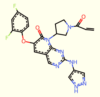 C=CC(=O)N1CCC(n2c(=O)c(Oc3ccc(F)cc3F)cc3cnc(Nc4cn[nH]c4)nc32)C1